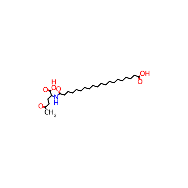 CC(=O)CCC(NC(=O)CCCCCCCCCCCCCCCCCCC(=O)O)C(=O)O